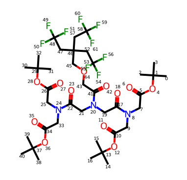 CC(C)(C)OC(=O)CN(CC(=O)OC(C)(C)C)C(=O)CN(CC(=O)N(CC(=O)OC(C)(C)C)CC(=O)OC(C)(C)C)C(=O)COCC(CC(F)(F)F)(CC(F)(F)F)CC(F)(F)F